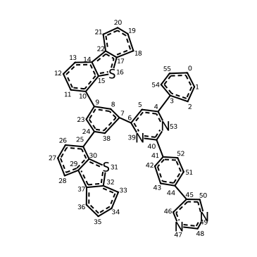 c1ccc(-c2cc(-c3cc(-c4cccc5c4sc4ccccc45)cc(-c4cccc5c4sc4ccccc45)c3)nc(-c3ccc(-c4cncnc4)cc3)n2)cc1